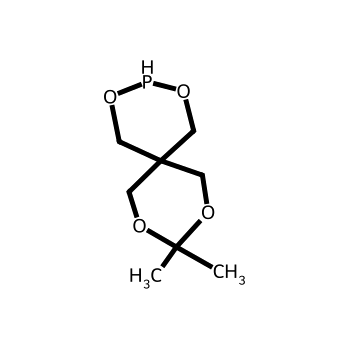 CC1(C)OCC2(COPOC2)CO1